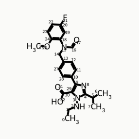 CCNn1c(C(C)C)nc(-c2ccc(CN(C=O)c3cc(F)ccc3OC)cc2)c1C(=O)O